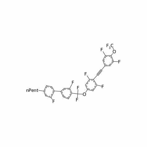 CCCCCc1ccc(-c2ccc(C(F)(F)Oc3cc(F)c(C#Cc4cc(F)c(OC(F)(F)F)c(F)c4)c(F)c3)c(F)c2)c(F)c1